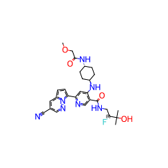 COCC(=O)N[C@H]1CC[C@H](Nc2cc(-c3ccc4cc(C#N)cnn34)ncc2C(=O)NC[C@@H](F)C(C)(C)O)CC1